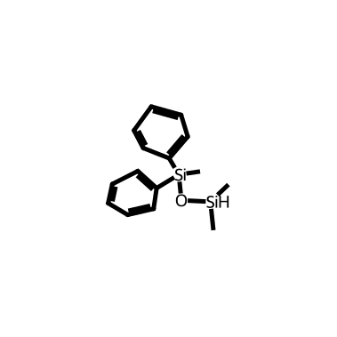 C[SiH](C)O[Si](C)(c1ccccc1)c1ccccc1